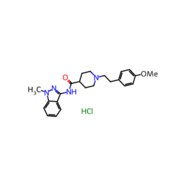 COc1ccc(CCN2CCC(C(=O)Nc3nn(C)c4ccccc34)CC2)cc1.Cl